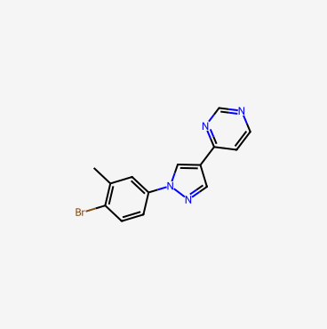 Cc1cc(-n2cc(-c3ccncn3)cn2)ccc1Br